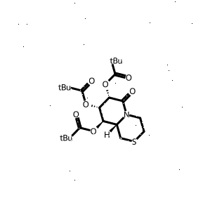 CC(C)(C)C(=O)O[C@H]1[C@H](OC(=O)C(C)(C)C)[C@H]2CSCCN2C(=O)[C@H]1OC(=O)C(C)(C)C